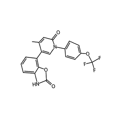 Cc1cc(=O)n(-c2ccc(OC(F)(F)F)cc2)cc1-c1cccc2[nH]c(=O)oc12